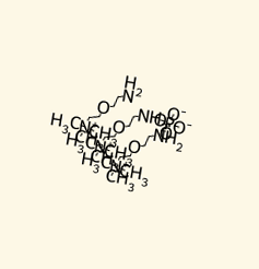 C[N+](C)(C)CCOCCN.C[N+](C)(C)CCOCCN.C[N+](C)(C)CCOCCN.O=P([O-])([O-])[O-]